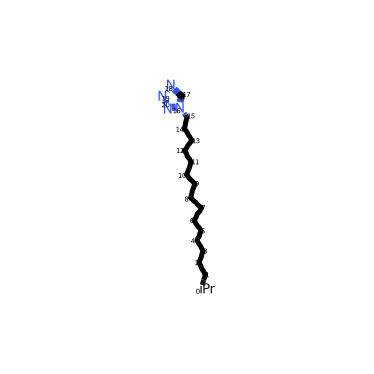 CC(C)CCCCCCCCCCCCCCCn1[c]nnn1